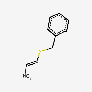 O=[N+]([O-])/C=C/SCc1ccccc1